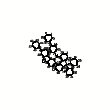 c1ccc(-c2ccc(N(c3cccc4c3-c3ccccc3C4(c3ccccc3)c3ccccc3)c3cccc4oc5cc(-c6ccccc6)ccc5c34)cc2)cc1